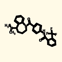 CN(C)C1CCCN(C(=O)c2ccc(NC(=O)c3ccccc3C(F)(F)F)cc2)c2ccccc21